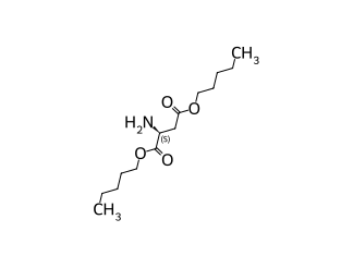 CCCCCOC(=O)C[C@H](N)C(=O)OCCCCC